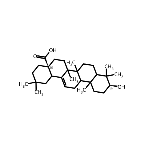 CC1(C)CC[C@]2(C(=O)O)CCC3(C)C(=CCC4C5(C)CC[C@H](O)C(C)(C)C5CCC43C)C2C1